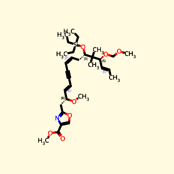 C/C=C/[C@H](OCOC)C(C)(C)[C@H](C/C=C\C#C/C=C/[C@@H](Cc1nc(C(=O)OC)co1)OC)O[Si](CC)(CC)CC